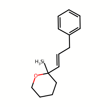 [SiH3]C1(C=CCc2ccccc2)CCCCO1